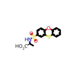 C[C@H](NS(=O)(=O)c1ccc2c(c1)Sc1ccccc1O2)C(=O)O